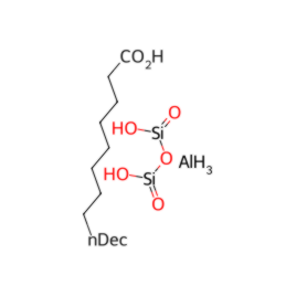 CCCCCCCCCCCCCCCCCC(=O)O.O=[Si](O)O[Si](=O)O.[AlH3]